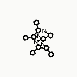 N#Cc1ccccc1-c1cc(-n2c3ccc(-c4ccccc4)cc3c3cc(-c4ccccc4)ccc32)c(C#N)c(-n2c3ccc(-c4ccccc4)cc3c3cc(-c4ccccc4)ccc32)c1